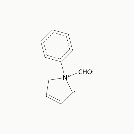 O=[C][N+]1(c2ccccc2)[C]C=CC1